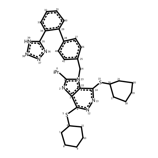 CC(C)c1nc2c(SC3CCCCC3)nnc(SC3CCCCC3)c2n1Cc1ccc(-c2ccccc2-c2nnn[nH]2)cc1